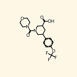 O=C(O)C1CC(c2ccc(OC(F)(F)F)cc2)CN(C(=O)N2CCOCC2)C1